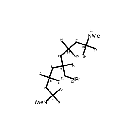 CNC(C)(C)CC(C)(C)CC(C)(CC(C)C)CC(C)(C)CC(C)(C)NC